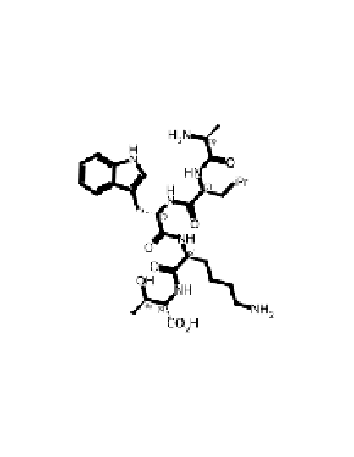 CC(C)C[C@H](NC(=O)[C@H](C)N)C(=O)N[C@@H](Cc1c[nH]c2ccccc12)C(=O)N[C@@H](CCCCN)C(=O)N[C@H](C(=O)O)[C@@H](C)O